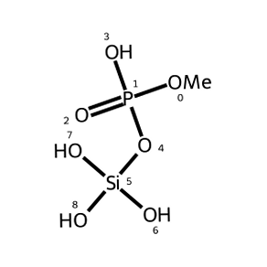 COP(=O)(O)O[Si](O)(O)O